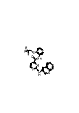 O=C(Nc1cnccc1OCC(F)(F)F)c1ccnc(Nc2cnc3cnccc3c2)n1